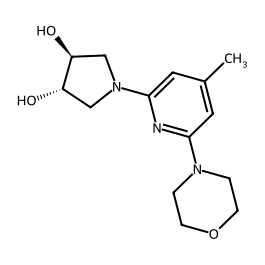 Cc1cc(N2CCOCC2)nc(N2C[C@H](O)[C@@H](O)C2)c1